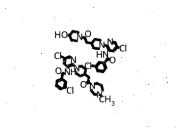 CN1CCCN(C(=O)CC2CCN(c3ncc(Cl)cc3NC(=O)c3cccc(Cl)c3)CC2)CC1.O=C(Nc1cc(Cl)cnc1N1CCC(CC(=O)N2CCC(O)CC2)CC1)c1cccc(Cl)c1